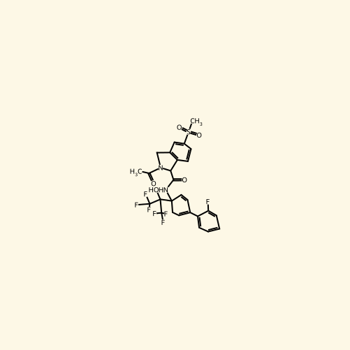 CC(=O)N1Cc2cc(S(C)(=O)=O)ccc2C1C(=O)NC1(C(O)(C(F)(F)F)C(F)(F)F)C=CC(c2ccccc2F)=CC1